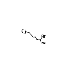 C=CC(Br)CCCCCl